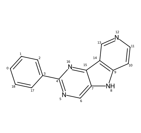 c1ccc(-c2ncc3[nH]c4ccncc4c3n2)cc1